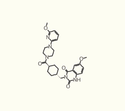 COc1ccc2[nH]c(=O)n(C[C@H]3CC[C@H](C(=O)N4CCN(c5cccc(OC)n5)CC4)CC3)c(=O)c2c1